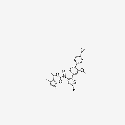 COc1cc(-c2sc(F)cc2NC(=O)OC(C)c2cscc2C)ccc1-c1ccc(C2CC2)cc1